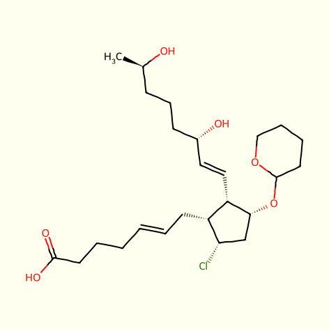 C[C@@H](O)CCC[C@H](O)C=C[C@H]1[C@@H](CC=CCCCC(=O)O)[C@@H](Cl)C[C@H]1OC1CCCCO1